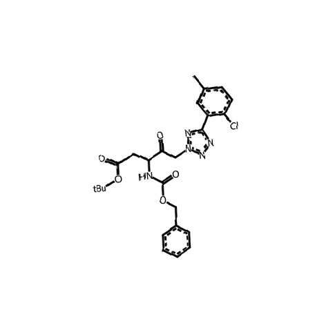 Cc1ccc(Cl)c(-c2nnn(CC(=O)C(CC(=O)OC(C)(C)C)NC(=O)OCc3ccccc3)n2)c1